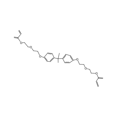 C=CC(=C)OCCOCCOc1ccc(C(C)(C)c2ccc(OCCOCCOC(=C)C=C)cc2)cc1